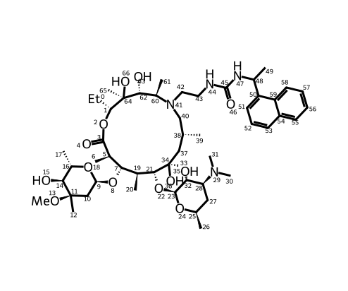 CC[C@H]1OC(=O)[C@H](C)[C@@H](O[C@H]2C[C@@](C)(OC)[C@@H](O)[C@H](C)O2)[C@H](C)[C@@H](O[C@@H]2O[C@H](C)C[C@H](N(C)C)[C@H]2O)[C@](C)(O)C[C@@H](C)CN(CCNC(=O)NC(C)c2cccc3ccccc23)[C@H](C)[C@@H](O)[C@]1(C)O